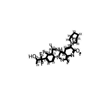 COc1nc2c(C)nnc(N[C@H](C)c3cccc(C(F)(F)C(C)O)c3F)c2cc1N1CC2CCC(C1)O2